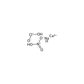 O=[N+]([O-])O.[Ca+2].[NaH].[O-][Cl+]O